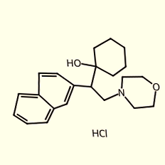 Cl.OC1(C(CN2CCOCC2)c2ccc3ccccc3c2)CCCCC1